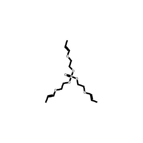 CC=COCCOP(=O)(OCCOC=CC)OCCOC=CC